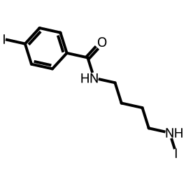 O=C(NCCCCNI)c1ccc(I)cc1